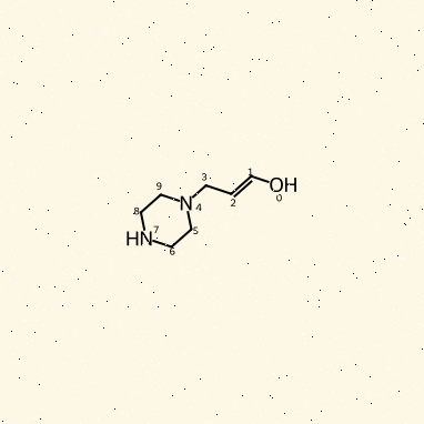 OC=CCN1CCNCC1